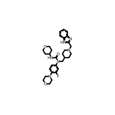 O=C(NC1CCOCC1)N(CC1CCN(Cc2nc3ccccc3[nH]2)CC1)c1ccc(N2CCOCC2)c(F)c1